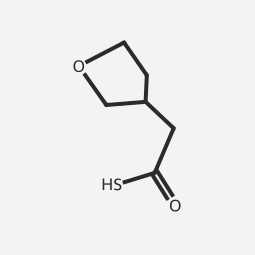 O=C(S)CC1CCOC1